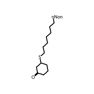 CCCCCCCCCCCCCCCCSC1CCCC(=O)C1